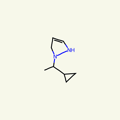 CC(C1CC1)N1CC=CN1